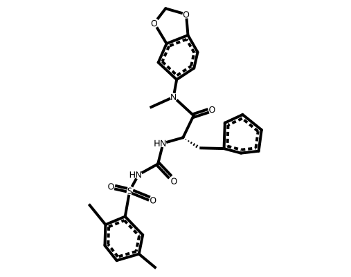 Cc1ccc(C)c(S(=O)(=O)NC(=O)N[C@@H](Cc2ccccc2)C(=O)N(C)c2ccc3c(c2)OCO3)c1